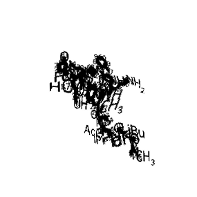 CC[C@H](C)[C@H](NC(=O)[C@H]1CN1C)C(=O)N(C)[C@H](C[C@@H](OC(C)=O)c1nc(C(=O)N(C)[C@@H](Cc2ccc(OC3OC(CO)C(O)C(O)C3O)cc2)C(=O)N[C@H](CCCCN)C(=O)N[C@@H](Cc2ccccc2)C(=O)N=C2CN(C(=O)CCCN3C(=O)C=CC3=O)C2)cs1)C(C)C